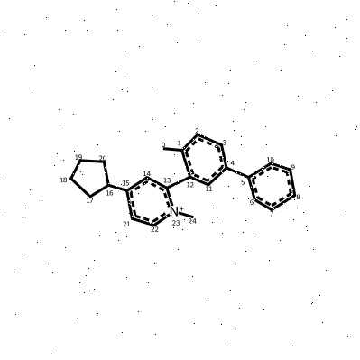 Cc1ccc(-c2ccccc2)cc1-c1cc(C2CCCC2)cc[n+]1C